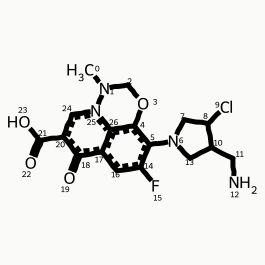 CN1COc2c(N3CC(Cl)C(CN)C3)c(F)cc3c(=O)c(C(=O)O)cn1c23